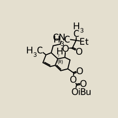 CCC(C)(C)C(=O)OC1CC(C(=O)OC(=O)OCC(C)C)C=C2C=CC(C)C(CCC#N)[C@H]21